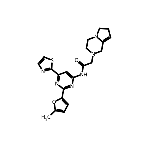 Cc1ccc(-c2nc(NC(=O)CN3CCN4CCC=C4C3)cc(-c3nccs3)n2)o1